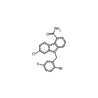 NC(=O)c1cccc2c1c1[c]cc(Cl)cc1n2Cc1cc(F)ccc1Br